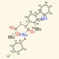 CC(C)(C)OC(=O)CC(C(=O)NCc1ccc(F)cc1)c1ccc2c([nH]c3ccccc32)c1C(C)(C)C